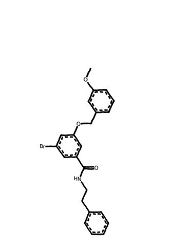 COc1cccc(COc2cc(Br)cc(C(=O)NCCc3ccccc3)c2)c1